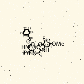 COC(=O)CC(NC(=O)[C@@H](C)NC(=O)[C@H](NC(=O)OCc1ccccc1)C(C)C)C(=O)CF